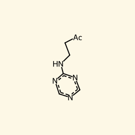 CC(=O)CCNc1ncncn1